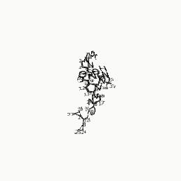 CCCn1ccc(S(=O)(=O)NC(=O)c2ccc(-n3ccc(OCCC(C4CC4)C4CC4)n3)nc2N2CNCC2(C)C)n1